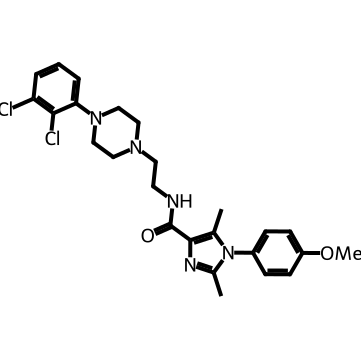 COc1ccc(-n2c(C)nc(C(=O)NCCN3CCN(c4cccc(Cl)c4Cl)CC3)c2C)cc1